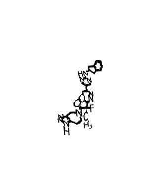 C[C@](F)(C(=O)N1CCc2[nH]nnc2C1)C1N=NC(c2cnc(NC3Cc4ccccc4C3)nc2)=CO1